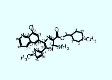 CN1CCC(COC(=O)c2nc(-c3cc(Cl)c4ncccc4c3)c(-c3ccn(C)n3)nc2N)CC1